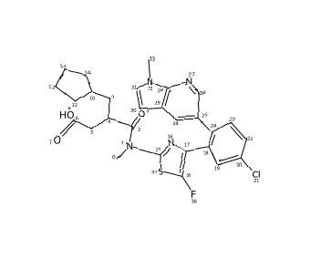 CN(C(=O)C(CC(=O)O)CC1CCCC1)c1nc(-c2cc(Cl)ccc2-c2cnc3c(ccn3C)c2)c(F)s1